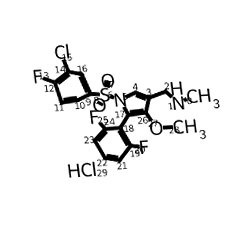 CNCc1cn(S(=O)(=O)c2ccc(F)c(Cl)c2)c(-c2c(F)cccc2F)c1OC.Cl